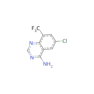 Nc1ncnc2c(C(F)(F)F)cc(Cl)cc12